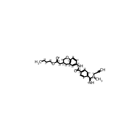 C#CCN(C)C(=N)c1ccc(C(=O)Nc2ccc3c(c2)CC(CC(=O)OCCCC)CO3)cc1